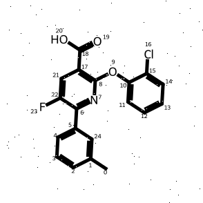 Cc1cccc(-c2nc(Oc3ccccc3Cl)c(C(=O)O)cc2F)c1